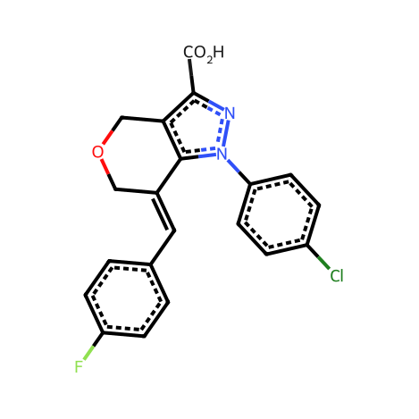 O=C(O)c1nn(-c2ccc(Cl)cc2)c2c1COCC2=Cc1ccc(F)cc1